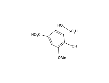 COc1cc(C(=O)O)ccc1O.O=S(=O)(O)O